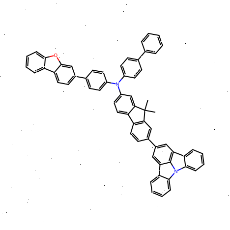 CC1(C)c2cc(-c3cc4c5ccccc5n5c6ccccc6c(c3)c45)ccc2-c2ccc(N(c3ccc(-c4ccccc4)cc3)c3ccc(-c4ccc5c(c4)oc4ccccc45)cc3)cc21